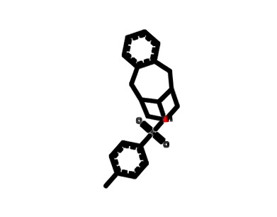 Cc1ccc(S(=O)(=O)NC2C3CCCC2Cc2ccccc2C3)cc1